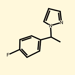 CC(c1ccc(F)cc1)n1cccn1